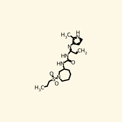 C=C/C(=N\c1cc[nH]c1C)NC(=O)NC1CCCCN(S(=O)(=O)CCC)C1